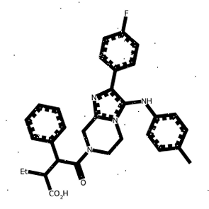 CCC(C(=O)O)C(C(=O)N1CCn2c(nc(-c3ccc(F)cc3)c2Nc2ccc(C)cc2)C1)c1ccccc1